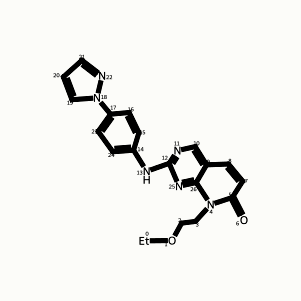 CCOCCn1c(=O)ccc2cnc(Nc3ccc(-n4cccn4)cc3)nc21